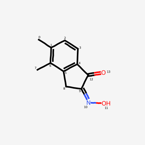 Cc1ccc2c(c1C)C/C(=N/O)C2=O